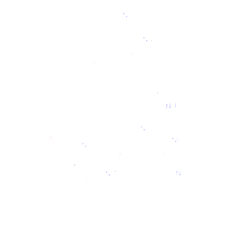 Cc1cncnc1-c1ccc2nc(Nc3cc(CN4CCN(C=O)CC4)ccn3)[nH]c2c1